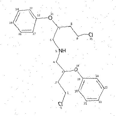 ClCCC(CNCC(CCCl)Oc1ccccc1)Oc1ccccc1